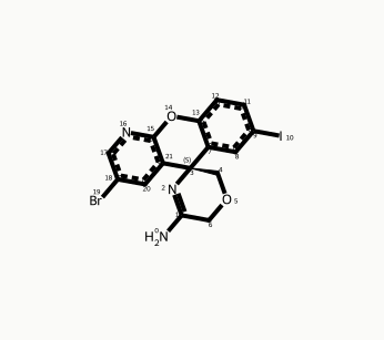 NC1=N[C@@]2(COC1)c1cc(I)ccc1Oc1ncc(Br)cc12